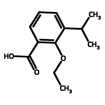 CCOc1c(C(=O)O)cccc1C(C)C